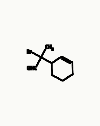 CC(Br)(C=O)C1C=CCCC1